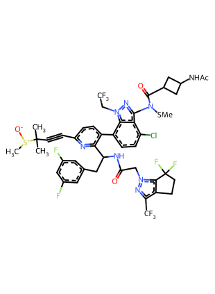 CSN(C(=O)C1CC(NC(C)=O)C1)c1nn(CC(F)(F)F)c2c(-c3ccc(C#CC(C)(C)[S+](C)[O-])nc3C(Cc3cc(F)cc(F)c3)NC(=O)Cn3nc(C(F)(F)F)c4c3C(F)(F)CC4)ccc(Cl)c12